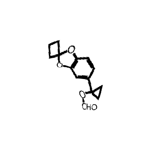 O=COC1(c2ccc3c(c2)OC2(CCC2)O3)CC1